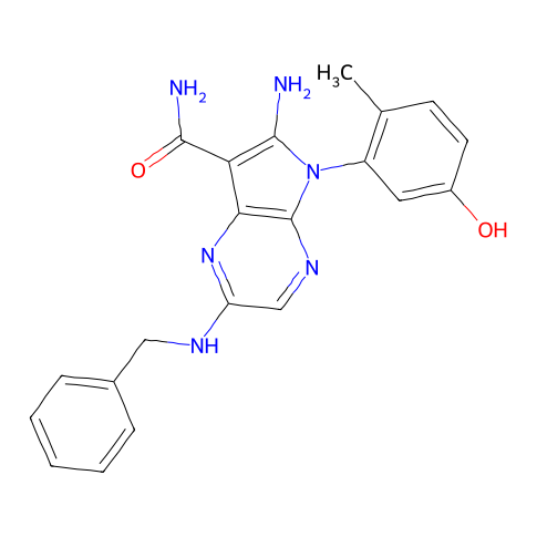 Cc1ccc(O)cc1-n1c(N)c(C(N)=O)c2nc(NCc3ccccc3)cnc21